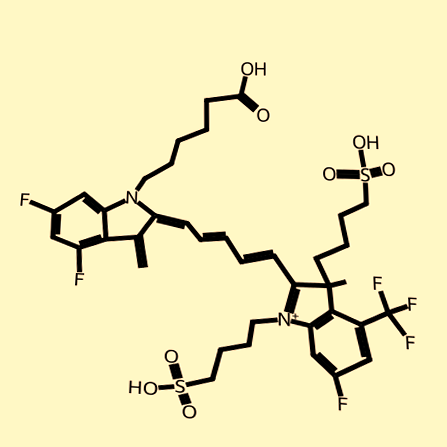 C=c1\c(=C/C=C/C=C/C2=[N+](CCCCS(=O)(=O)O)c3cc(F)cc(C(F)(F)F)c3C2(C)CCCCS(=O)(=O)O)n(CCCCCC(=O)O)c2cc(F)cc(F)c12